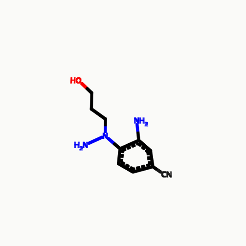 N#Cc1ccc(N(N)CCCO)c(N)c1